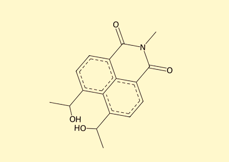 CC(O)c1ccc2c3c(ccc(C(C)O)c13)C(=O)N(C)C2=O